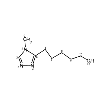 Cn1cnnc1CCCCCO